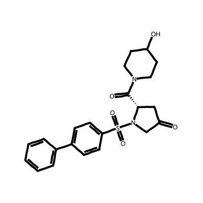 O=C1C[C@@H](C(=O)N2CCC(O)CC2)N(S(=O)(=O)c2ccc(-c3ccccc3)cc2)C1